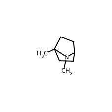 CN1C2CCC1(C)CC2